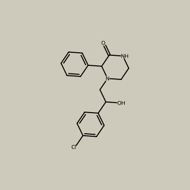 O=C1NCCN(CC(O)c2ccc(Cl)cc2)C1c1ccccc1